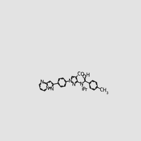 Cc1ccc(C(=O)N(c2nn(-c3ccc(-c4cc5ncccn5n4)cc3)cc2C(=O)O)C(C)C)cc1